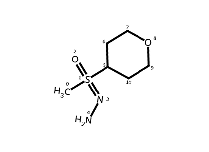 CS(=O)(=NN)C1CCOCC1